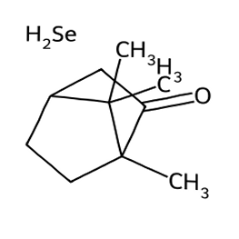 CC12CCC(CC1=O)C2(C)C.[SeH2]